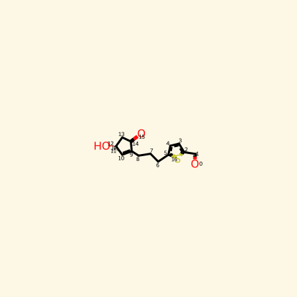 O=Cc1ccc(CCCC2=C[C@H](O)CC2=O)s1